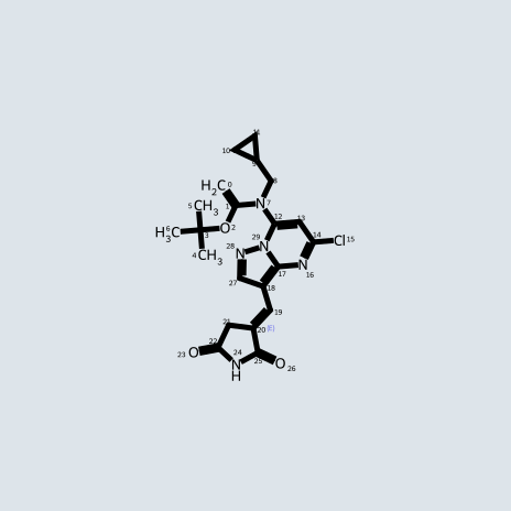 C=C(OC(C)(C)C)N(CC1CC1)c1cc(Cl)nc2c(/C=C3\CC(=O)NC3=O)cnn12